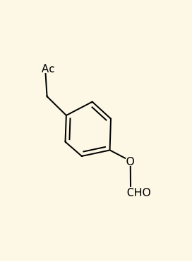 CC(=O)Cc1ccc(OC=O)cc1